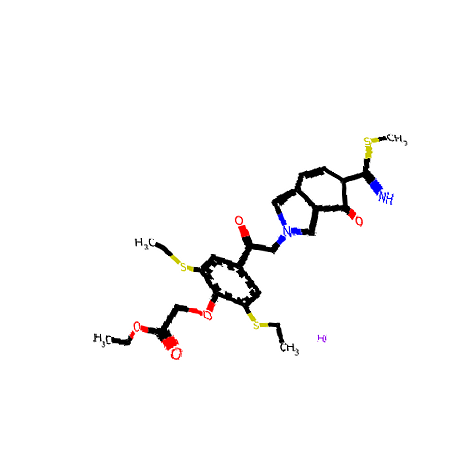 CCOC(=O)COc1c(SCC)cc(C(=O)CN2C=C3C=CC(C(=N)SC)C(=O)C3C2)cc1SCC.I